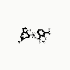 C[C@@H](NC(=O)c1cc(Br)cc2cc[nH]c12)c1cccc(C(F)F)c1F